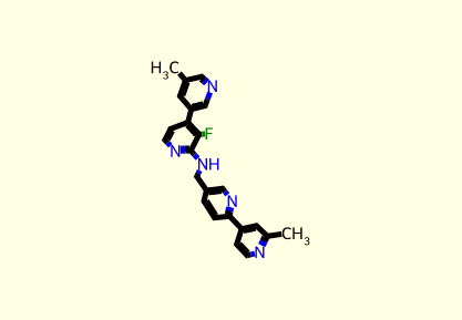 Cc1cncc(-c2ccnc(NCc3ccc(-c4ccnc(C)c4)nc3)c2F)c1